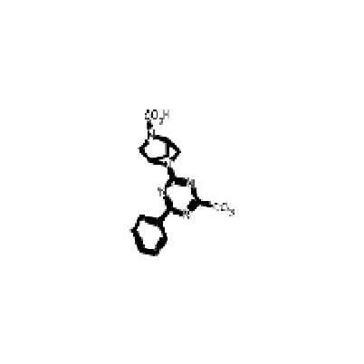 O=C(O)N1CC2CC1CN2c1nc(-c2ccccc2)nc(C(Cl)(Cl)Cl)n1